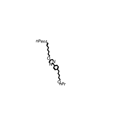 CCCCC/C=C/CCCCCOc1cnc(-c2ccc(CCCCCOCCC)cc2)nc1